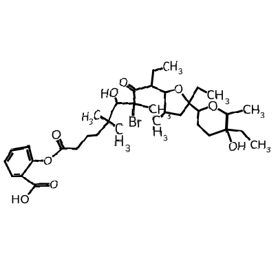 CCC(C(=O)C(C)(Br)C(O)C(C)(C)CCCC(=O)Oc1ccccc1C(=O)O)C1OC(CC)(C2CCC(O)(CC)C(C)O2)CC1C